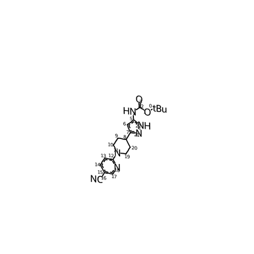 CC(C)(C)OC(=O)Nc1cc(C2CCN(c3ccc(C#N)cn3)CC2)n[nH]1